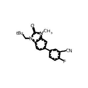 Cn1c(=O)n(CC(C)(C)C)c2ccc(-c3ccc(F)c(C#N)c3)cc21